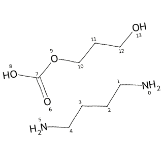 NCCCCN.O=C(O)OCCCO